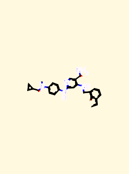 CN(C(=O)C1CC1)c1ccc(Nc2cc(NCc3cccc4ccsc34)c(C(N)=O)cn2)cc1